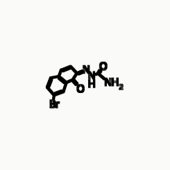 NC(=O)NN=C1C=Cc2ccc(Br)cc2C1=O